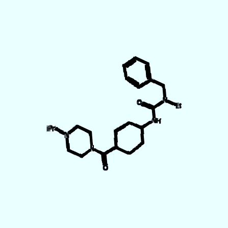 CCN(Cc1ccccc1)C(=O)NC1CCC(C(=O)N2CCN(C(C)C)CC2)CC1